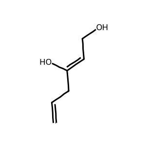 [CH]=CCC(O)=CCO